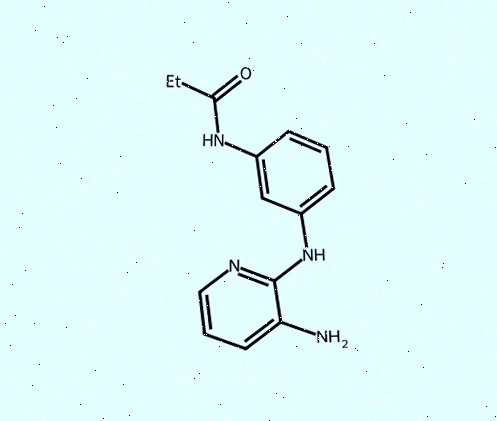 CCC(=O)Nc1cccc(Nc2ncccc2N)c1